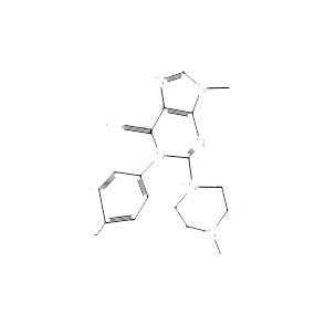 CN1CCN(c2nc3c(ncn3C)c(=O)n2-c2ccc(Cl)cc2)CC1